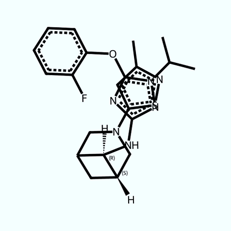 Cc1cc(N2CC3C[C@@H](C2)[C@@H]3Nc2nc(Oc3ccccc3F)n(C(C)C)n2)sn1